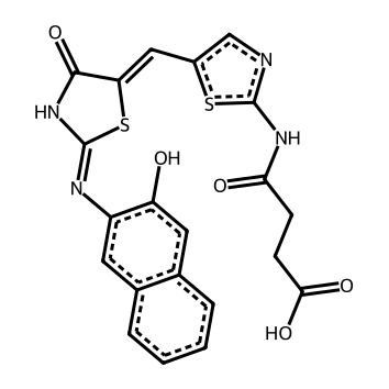 O=C(O)CCC(=O)Nc1ncc(/C=C2\SC(=Nc3cc4ccccc4cc3O)NC2=O)s1